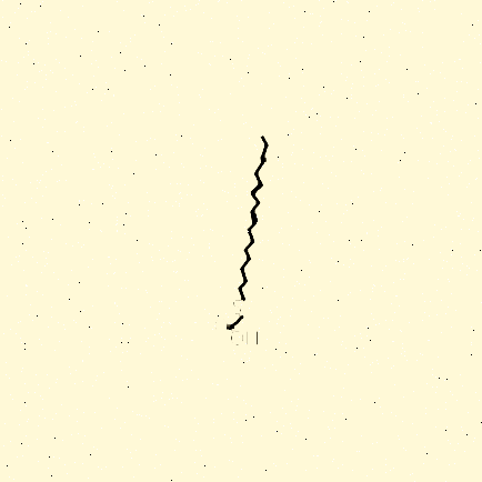 CCC=CCC=CCC=CCCCCCCCCSCC(=O)O